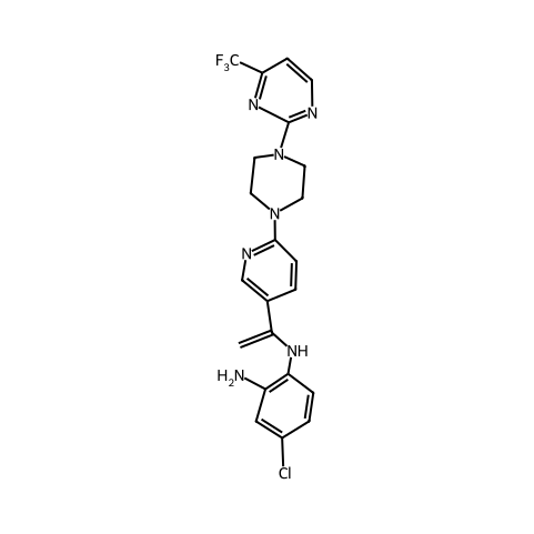 C=C(Nc1ccc(Cl)cc1N)c1ccc(N2CCN(c3nccc(C(F)(F)F)n3)CC2)nc1